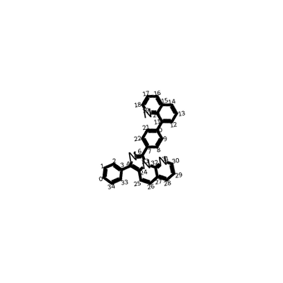 c1ccc(-c2nc(-c3ccc(-c4cccc5cccnc45)cc3)n3c2ccc2cccnc23)cc1